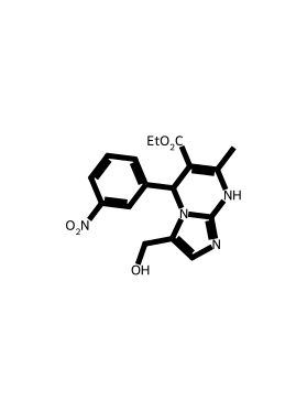 CCOC(=O)C1=C(C)Nc2ncc(CO)n2C1c1cccc([N+](=O)[O-])c1